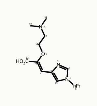 CCCn1cnc(C=C(OCCN(C)C)C(=O)O)c1